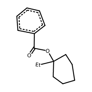 CCC1(OC(=O)c2ccccc2)CCCCC1